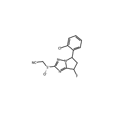 N#CC[S@@+]([O-])c1nc2n(n1)C(c1ccccc1Cl)CC2F